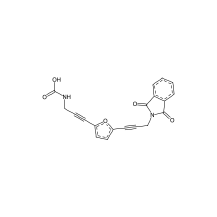 O=C(O)NCC#Cc1ccc(C#CCN2C(=O)c3ccccc3C2=O)o1